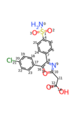 NS(=O)(=O)c1ccc(-c2nc(CC(=O)O)oc2-c2ccc(Cl)cc2)cc1